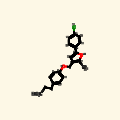 CCOC(=O)CCc1ccc(OCc2cc(-c3ccc(Cl)cc3)oc2C(F)(F)F)cc1